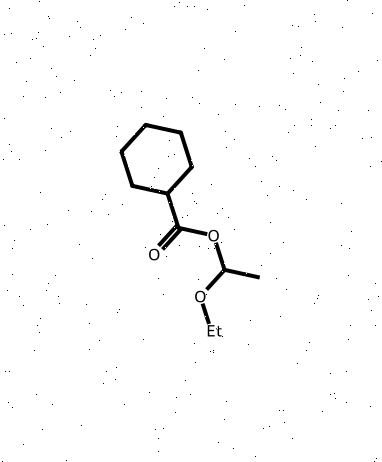 CCOC(C)OC(=O)C1CCCCC1